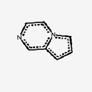 [c]1cn2cccc2cn1